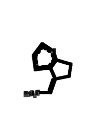 CCOC(=O)/C=C1/CCc2ncccc21